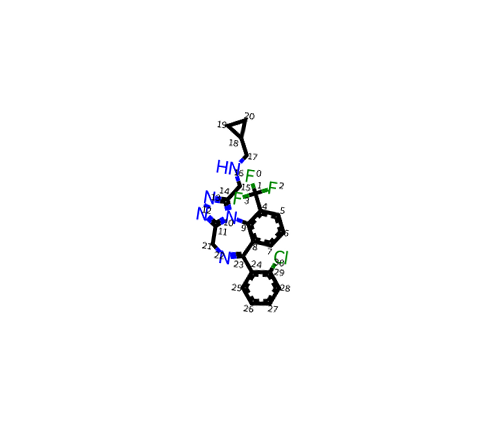 FC(F)(F)c1cccc2c1-n1c(nnc1CNCC1CC1)CN=C2c1ccccc1Cl